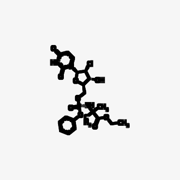 CCOC(=O)C(C)(C)N[P@](=O)(OC[C@H]1O[C@@H](n2ccc(=O)[nH]c2=O)[C@@H](Cl)[C@@H]1O)Oc1ccccc1